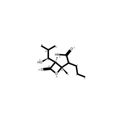 CCCC1C(=O)N[C@@]2([C@@H](O)C(C)C)C(=O)O[C@@]12C